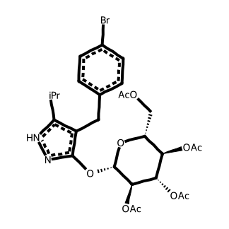 CC(=O)OC[C@H]1O[C@@H](Oc2n[nH]c(C(C)C)c2Cc2ccc(Br)cc2)[C@H](OC(C)=O)[C@@H](OC(C)=O)[C@@H]1OC(C)=O